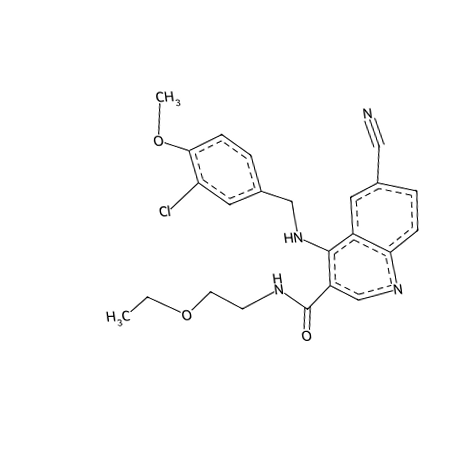 CCOCCNC(=O)c1cnc2ccc(C#N)cc2c1NCc1ccc(OC)c(Cl)c1